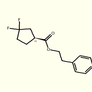 O=C(OCCc1ccccc1)[C@H]1CCC(F)(F)C1